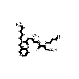 C=CCCC[C@H](CC(=O)O)C(=O)NC[C@@H](C)CC(=O)N(CCCC=C)Cc1cccnc1